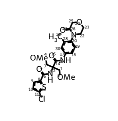 COCC(COC)(NC(=O)c1ccc(Cl)s1)C(=O)Nc1ccc(N2CCOCC2=O)c(C)c1